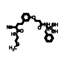 COCCNC(=O)C(C#N)CCc1cccc(OCCC(=O)N[C@@H](Cc2ccccc2)B(O)O)c1